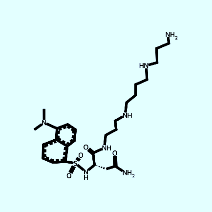 CN(C)c1cccc2c(S(=O)(=O)N[C@@H](CC(N)=O)C(=O)NCCCNCCCCNCCCN)cccc12